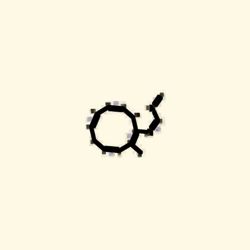 C=N\C=N/C1=C(C)/C=C\C/C=C\C=C/C1